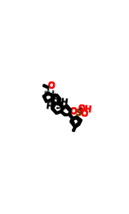 CC(=O)[C@H]1CC[C@H]2[C@@H]3CCC4CC(c5cc(C)ccc5S(=O)(=O)O)C=C[C@]4(C)[C@H]3CC[C@]12C